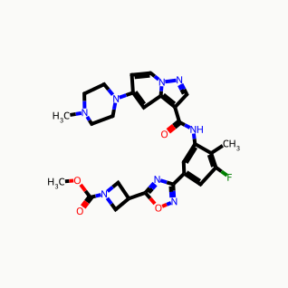 COC(=O)N1CC(c2nc(-c3cc(F)c(C)c(NC(=O)c4cnn5ccc(N6CCN(C)CC6)cc45)c3)no2)C1